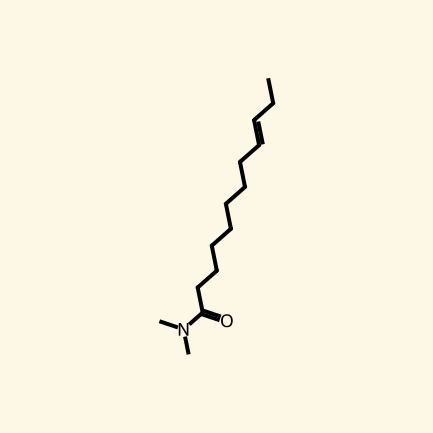 CCC=CCCCCCCCC(=O)N(C)C